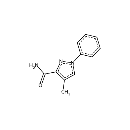 Cc1cn(-c2ccccc2)nc1C(N)=O